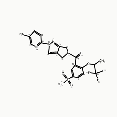 CC(Oc1ccc(S(C)(=O)=O)cc1C(=O)N1Cc2cn(-c3ccc(F)cn3)nc2C1)C(F)(F)F